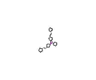 C(=C\c1ccc(P(c2ccccc2)c2ccc(/C=C/c3ccccc3)cc2)cc1)/c1ccccc1